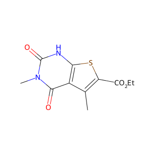 CCOC(=O)c1sc2[nH]c(=O)n(C)c(=O)c2c1C